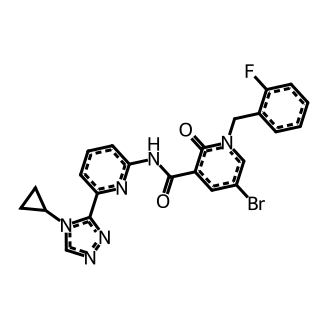 O=C(Nc1cccc(-c2nncn2C2CC2)n1)c1cc(Br)cn(Cc2ccccc2F)c1=O